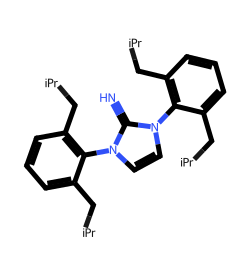 CC(C)Cc1cccc(CC(C)C)c1-n1ccn(-c2c(CC(C)C)cccc2CC(C)C)c1=N